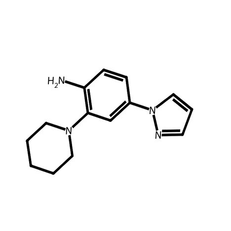 Nc1ccc(-n2cccn2)cc1N1CCCCC1